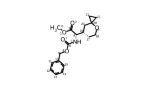 COC(=O)[C@@H](NC(=O)OCc1ccccc1)[C@H]1CCOC2(CC2)C1